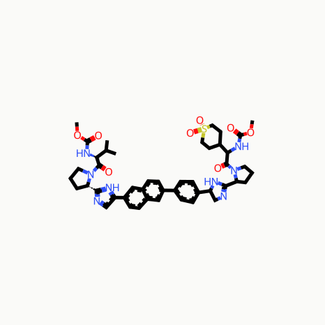 COC(=O)NC(C(=O)N1CCCC1C1=NCC(c2ccc(-c3ccc4cc(-c5cnc([C@@H]6CCCN6C(=O)[C@@H](NC(=O)OC)C(C)C)[nH]5)ccc4c3)cc2)N1)C1CCS(=O)(=O)CC1